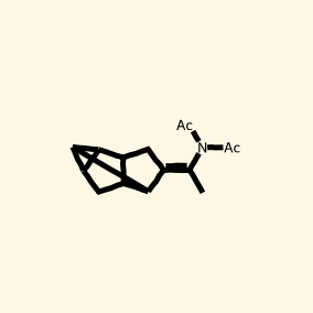 CC(=O)N(C(C)=O)C(C)=C1CC2C3CC4C2C4C13